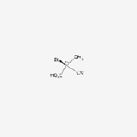 CC[C@@](C)(C#N)C(=O)O